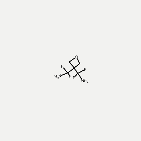 NC(F)(F)C1(C(N)(F)F)COC1